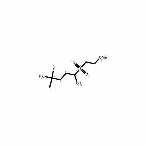 COCCS(=O)(=O)C(C)CCC(F)(F)C(F)(F)F